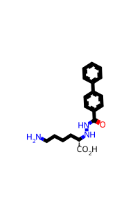 NCCCC[C@H](NNC(=O)c1ccc(-c2ccccc2)cc1)C(=O)O